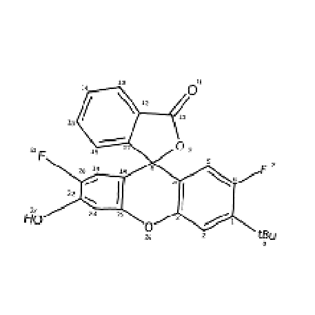 CC(C)(C)c1cc2c(cc1F)C1(OC(=O)c3ccccc31)c1cc(F)c(O)cc1O2